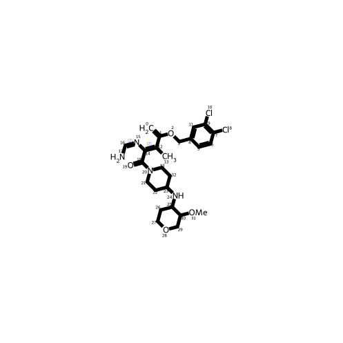 C=C(OCc1ccc(Cl)c(Cl)c1)/C(C)=C(\N=C/N)C(=O)N1CCC(NC2CCOCC2OC)CC1